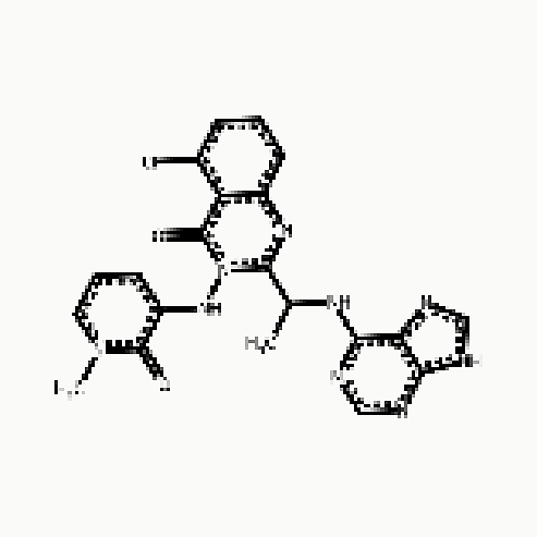 CC(Nc1ncnc2[nH]cnc12)c1nc2cccc(Cl)c2c(=O)n1Nc1cccn(C)c1=O